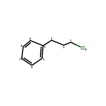 ClCCCc1cc[c]cc1